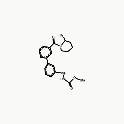 CCCC1CCCCN1C(=O)c1cccc(-c2cccc(NNC(=O)OC(C)(C)C)c2)c1